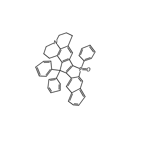 O=P1(c2ccccc2)C2=C(c3cc4ccccc4cc31)C(c1ccccc1)(c1ccccc1)c1c2cc2c3c1CCCN3CCC2